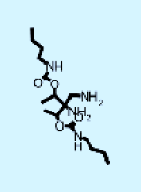 CCCCNC(=O)OC(C)C(N)(CN)C(C)OC(=O)NCCCC